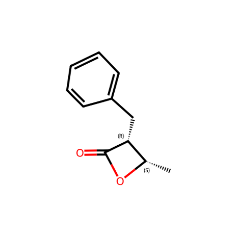 C[C@@H]1OC(=O)[C@@H]1Cc1ccccc1